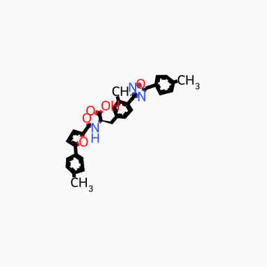 Cc1ccc(-c2ccc(C(=O)N[C@H](Cc3ccc(-c4noc(-c5ccc(C)cc5)n4)c(C)c3)C(=O)O)o2)cc1